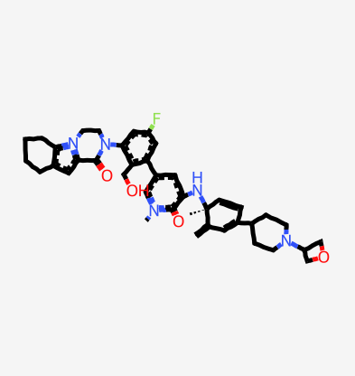 C=C1C=C(C2CCN(C3COC3)CC2)C=C[C@]1(C)Nc1cc(-c2cc(F)cc(N3CCn4c(cc5c4CCCC5)C3=O)c2CO)cn(C)c1=O